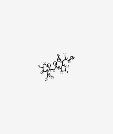 CCC(C)C(C(CC(=O)N1CCCC1C(OC)C(C)C=O)OC)N(C)C